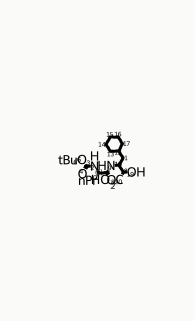 CCC[C@H](NC(=O)OC(C)(C)C)C(=O)NC(CC1CCCCC1)C(O)C(=O)O